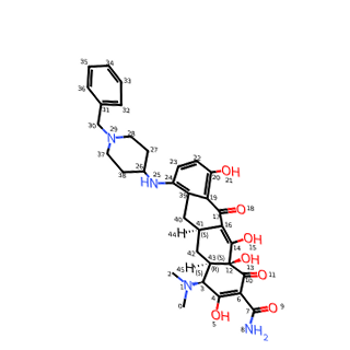 CN(C)[C@@H]1C(O)=C(C(N)=O)C(=O)[C@@]2(O)C(O)=C3C(=O)c4c(O)ccc(NC5CCN(Cc6ccccc6)CC5)c4C[C@@H]3C[C@H]12